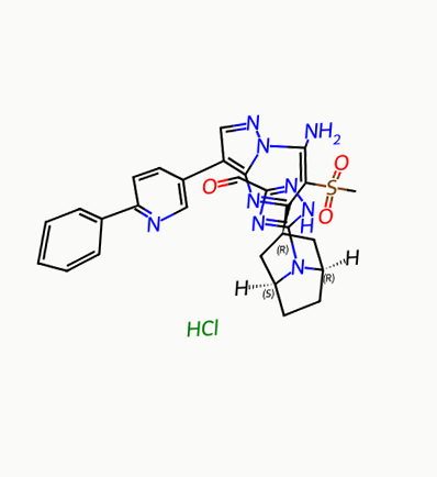 CS(=O)(=O)c1c([C@H]2C[C@H]3CC[C@@H](C2)N3c2nc(C=O)n[nH]2)nc2c(-c3ccc(-c4ccccc4)nc3)cnn2c1N.Cl